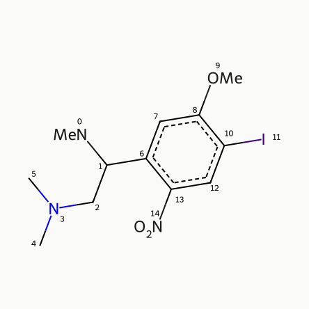 CNC(CN(C)C)c1cc(OC)c(I)cc1[N+](=O)[O-]